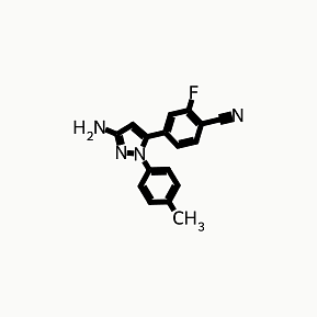 Cc1ccc(-n2nc(N)cc2-c2ccc(C#N)c(F)c2)cc1